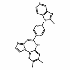 Cc1cc2c(cc1C)-n1ccnc1C=C(c1ccc(-n3c(C)nc4cnccc43)cc1)N2